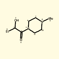 CCC(O)C(=O)N1CCN(C(C)(C)C)CC1